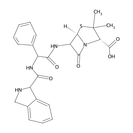 CC1(C)S[C@@H]2C(NC(=O)C(NC(=O)C3NCc4ccccc43)c3ccccc3)C(=O)N2[C@H]1C(=O)O